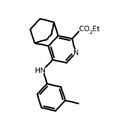 CCOC(=O)c1ncc(Nc2cccc(C)c2)c2c1C1CCC2CC1